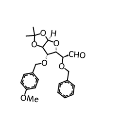 COc1ccc(CO[C@@H]2C3OC(C)(C)O[C@H]3O[C@@H]2[C@@H](C=O)OCc2ccccc2)cc1